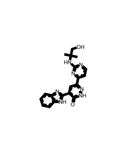 CC(C)(CO)Nc1nccc(-c2cc(-c3nc4ccccc4[nH]3)c(=O)[nH]n2)n1